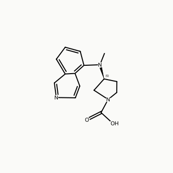 CN(c1cccc2cnccc12)[C@H]1CCN(C(=O)O)C1